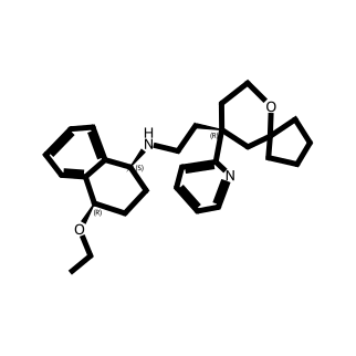 CCO[C@@H]1CC[C@H](NCC[C@@]2(c3ccccn3)CCOC3(CCCC3)C2)c2ccccc21